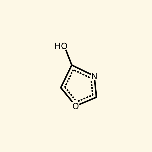 Oc1cocn1